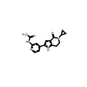 CC(=O)Nc1cc(-c2cc3c([nH]2)CCN(C2CC2)C3=O)ccn1